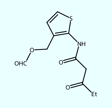 CCC(=O)CC(=O)Nc1sccc1COC=O